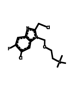 C[Si](C)(C)CCOCn1c(CCl)nc2cc(F)c(Cl)cc21